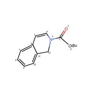 CC(C)COC(=O)N1C=Cc2ccccc2C1